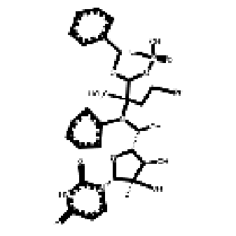 CC(C)CC[C@@](C(=O)O)(C(OCc1ccccc1)OP(=O)(O)O)N(c1ccccc1)C(O)[C@H]1O[C@@H](n2ccc(=O)[nH]c2=O)[C@](C)(O)[C@@H]1O